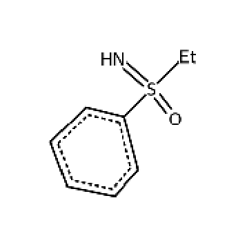 CCS(=N)(=O)c1ccccc1